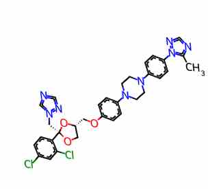 Cc1ncnn1-c1ccc(N2CCN(c3ccc(OC[C@@H]4CO[C@@](Cn5cncn5)(c5ccc(Cl)cc5Cl)O4)cc3)CC2)cc1